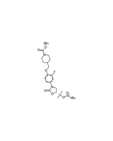 CC(C)(C)OC(=O)N1CCC(COc2ccc(N3C[C@H](C(C)(C)O[SiH2]C(C)(C)C)OC3=O)cc2F)CC1